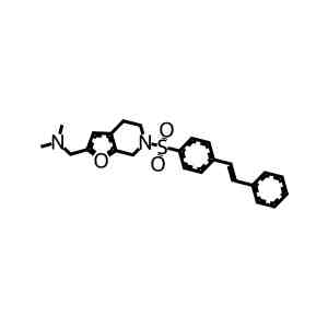 CN(C)Cc1cc2c(o1)CN(S(=O)(=O)c1ccc(C=Cc3ccccc3)cc1)CC2